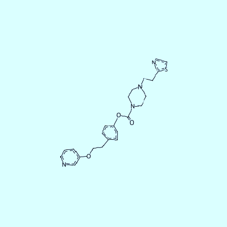 O=C(Oc1ccc(CCOc2cccnc2)cc1)N1CCN(CCc2nccs2)CC1